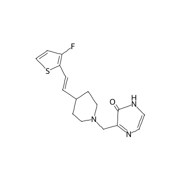 O=c1[nH]ccnc1CN1CCC(C=Cc2sccc2F)CC1